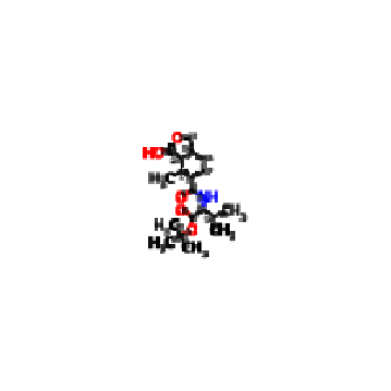 Cc1c(C(=O)N[C@H](C(=O)OC(C)(C)C)C(C)C)ccc2c1B(O)OC2